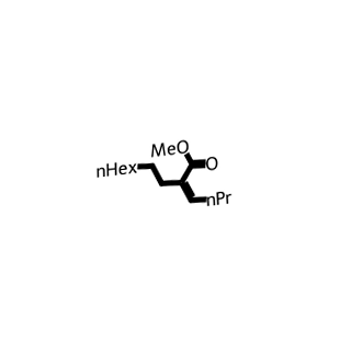 CCCC=C(CCCCCCCC)C(=O)OC